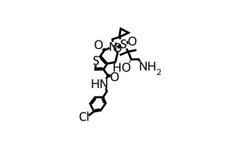 CC(C)([C@@H](O)CN)S(=O)(=O)C1(CN2CCc3c(C(=O)NCc4ccc(Cl)cc4)csc3C2=O)CC1